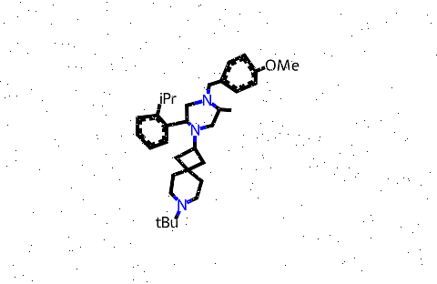 COc1ccc(CN2CC(c3ccccc3C(C)C)N(C3CC4(CCN(C(C)(C)C)CC4)C3)CC2C)cc1